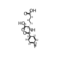 O=C(O)CCC[C@H](NC(=O)c1ccc(F)cc1)C(=O)O